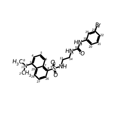 CN(C)c1cccc2c(S(=O)(=O)NCCNC(=O)Nc3cccc(Br)c3)cccc12